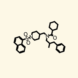 CC(Cc1ccccc1)CN(CC1CCN(S(=O)(=O)c2cccc3ccccc23)CC1)C(=O)C1CCCCC1